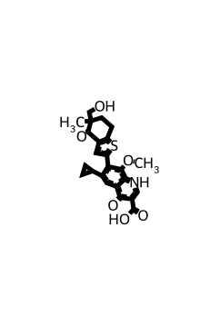 COc1c(-c2cc3c(s2)CCC(C)(CO)C3=O)c(C2CC2)cc2c(=O)c(C(=O)O)c[nH]c12